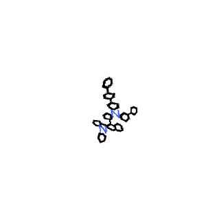 c1ccc(-c2ccc(-c3ccc(N(c4cccc(-c5ccccc5)c4)c4cccc(-c5c6ccccc6cc6c5c5ccccc5n6-c5ccccc5)c4)cc3)cc2)cc1